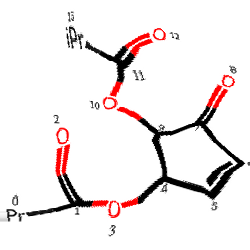 CC(C)C(=O)OC1C=CC(=O)C1OC(=O)C(C)C